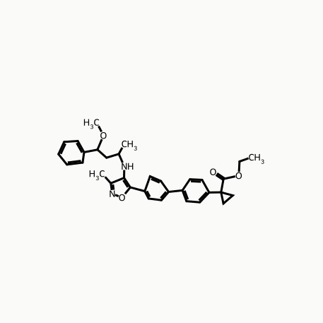 CCOC(=O)C1(c2ccc(-c3ccc(-c4onc(C)c4NC(C)CC(OC)c4ccccc4)cc3)cc2)CC1